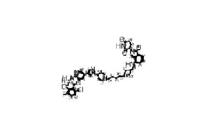 C[C@@H](Oc1cc(-c2cnn(C3CCN(CCCCCN4CC(CNc5cccc6c5CN(C5CCC(=O)NC5=O)C6=O)C4)CC3)c2)cnc1N)c1c(Cl)ccc(F)c1Cl